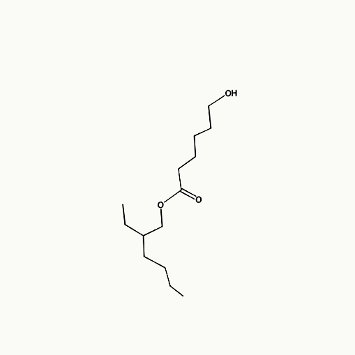 CCCCC(CC)COC(=O)CCCCCO